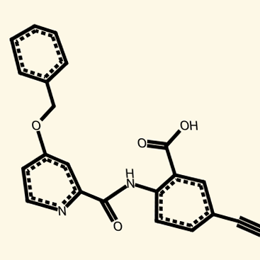 N#Cc1ccc(NC(=O)c2cc(OCc3ccccc3)ccn2)c(C(=O)O)c1